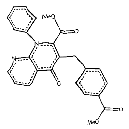 COC(=O)c1ccc(Cc2c(C(=O)OC)n(-c3ccccc3)c3ncccc3c2=O)cc1